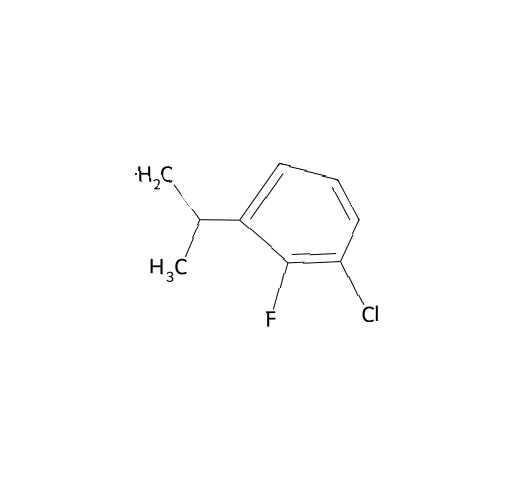 [CH2]C(C)c1cccc(Cl)c1F